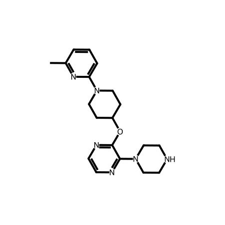 Cc1cccc(N2CCC(Oc3nccnc3N3CCNCC3)CC2)n1